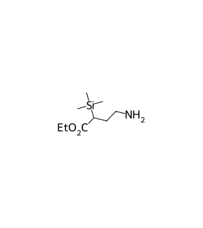 CCOC(=O)C(CCN)[Si](C)(C)C